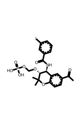 CC(=O)c1ccc2c(c1)[C@H](NC(=O)c1cccc(I)c1)[C@@H](OCOP(=O)(O)O)C(C)(C)O2